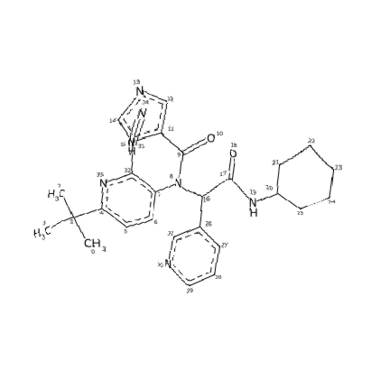 CC(C)(C)c1ccc(N(C(=O)c2cnc[nH]2)C(C(=O)NC2CCCCC2)c2cccnc2)c(C#N)n1